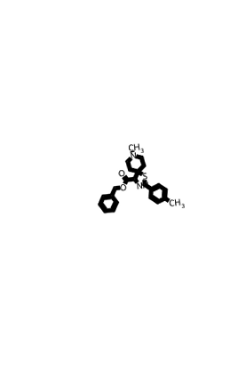 Cc1ccc(CSC2(C(N)C(=O)OCc3ccccc3)CCN(C)CC2)cc1